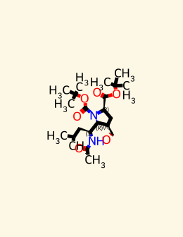 CC(=O)N[C@@H](CC(C)C)[C@H]1[C@H](C=O)C[C@H](C(=O)OC(C)(C)C)N1C(=O)OC(C)(C)C